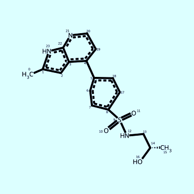 Cc1cc2c(-c3ccc(S(=O)(=O)NC[C@H](C)O)cc3)ccnc2[nH]1